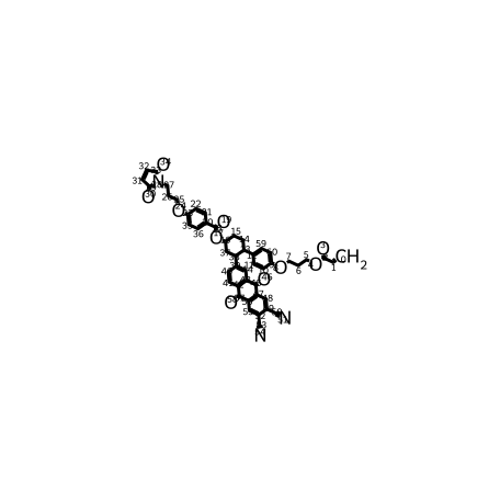 C=CC(=O)OCCCOc1ccc(C2CCC(OC(=O)c3ccc(OCCCN4C(=O)C=CC4=O)cc3)CC2c2ccc3c(c2)C(=O)c2cc(C#N)c(C#N)cc2C3=O)cc1